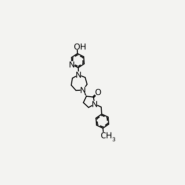 Cc1ccc(CN2CC[C@@H](N3CCCN(c4ccc(O)cn4)CC3)C2=O)cc1